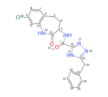 O=C(NC1CCc2ccc(Cl)cc2NC1=O)c1nnc(Cc2ccccc2)[nH]1